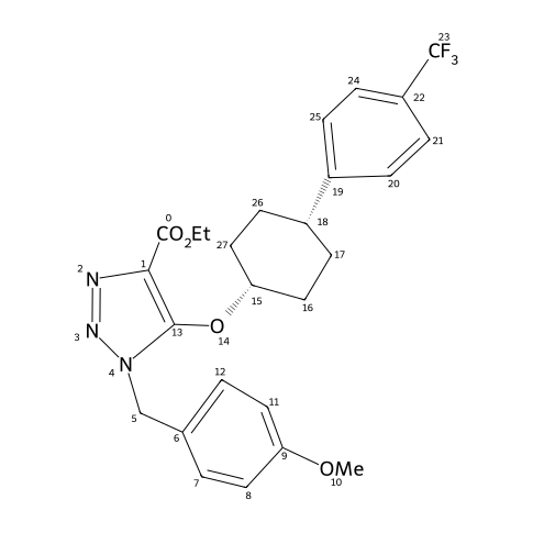 CCOC(=O)c1nnn(Cc2ccc(OC)cc2)c1O[C@H]1CC[C@@H](c2ccc(C(F)(F)F)cc2)CC1